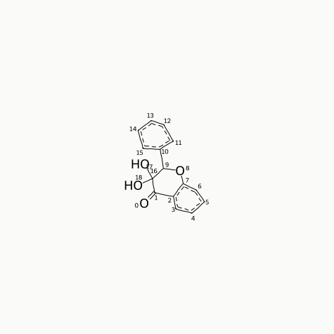 O=C1c2ccccc2OC(c2ccccc2)C1(O)O